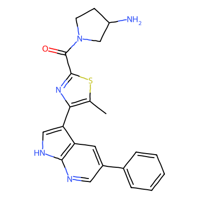 Cc1sc(C(=O)N2CCC(N)C2)nc1-c1c[nH]c2ncc(-c3ccccc3)cc12